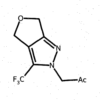 CC(=O)Cn1nc2c(c1C(F)(F)F)COC2